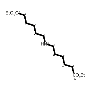 CCOC(=O)CCCCCNCCCCCC(=O)OCC